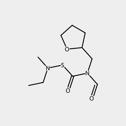 CCN(C)SC(=O)N(C=O)CC1CCCO1